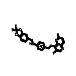 Cc1ccc2ncc(F)c(CCC34CCC(NCc5ccc6c(c5)OC(F)(F)O6)(CC3)CO4)c2n1